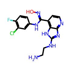 NCCNc1nc2nccc(/C(=N/O)Nc3ccc(F)c(Cl)c3)c2[nH]1